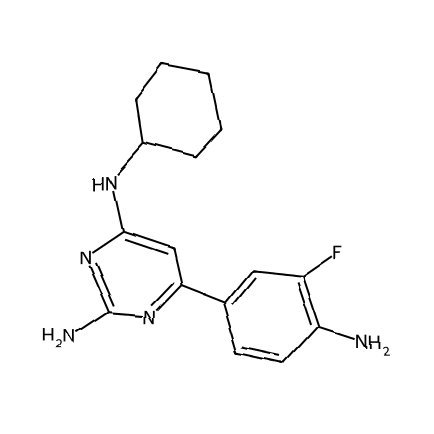 Nc1nc(NC2CCCCC2)cc(-c2ccc(N)c(F)c2)n1